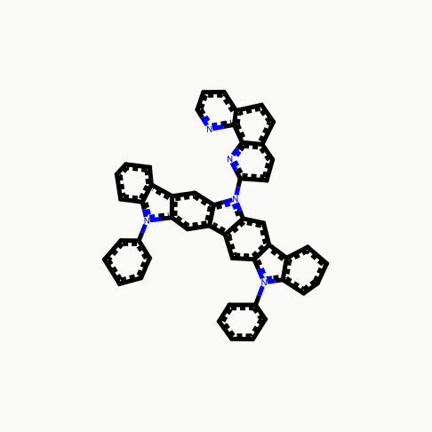 c1ccc(-n2c3ccccc3c3cc4c(cc32)c2cc3c(cc2n4-c2ccc4ccc5cccnc5c4n2)c2ccccc2n3-c2ccccc2)cc1